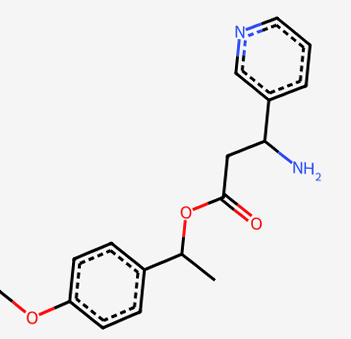 COc1ccc(C(C)OC(=O)CC(N)c2cccnc2)cc1